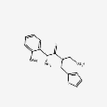 COc1ccccc1[C@@H](N)C(=O)N(CC(=O)O)Cc1cccs1